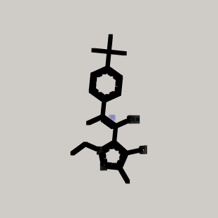 CCn1nc(C)c(Cl)c1/C(O)=C(\C)c1ccc(C(C)(C)C)cc1